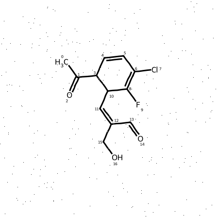 CC(=O)C1C=CC(Cl)=C(F)C1/C=C(\C=O)CO